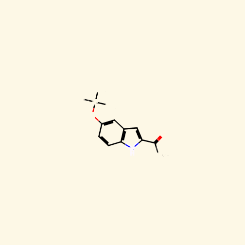 COC(=O)c1cc2cc(O[Si](C)(C)C(C)(C)C)ccc2[nH]1